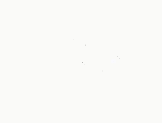 C=Nc1c(/C(=N\C)OCC2CC2)cc(I)n1S(=O)(=O)c1ccccc1